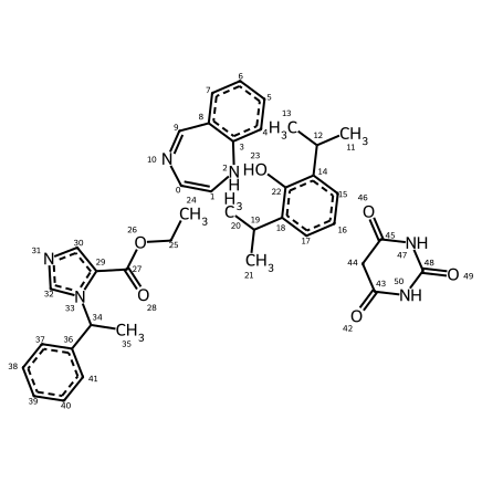 C1=CNc2ccccc2C=N1.CC(C)c1cccc(C(C)C)c1O.CCOC(=O)c1cncn1C(C)c1ccccc1.O=C1CC(=O)NC(=O)N1